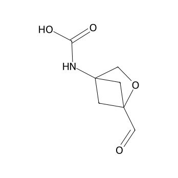 O=CC12CC(NC(=O)O)(CO1)C2